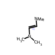 CN/C=C/N(C)C